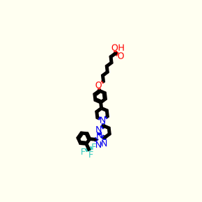 O=C(O)CCCCCCOc1ccc(C2CCN(C3=Nn4c(nnc4-c4ccccc4C(F)(F)F)CC3)CC2)cc1